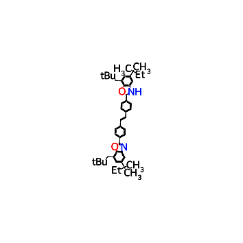 CCC(C)(C)c1cc(CC(C)(C)C)c2c(c1)NC(c1ccc(C=Cc3ccc(-c4nc5cc(C(C)(C)CC)cc(CC(C)(C)C)c5o4)cc3)cc1)O2